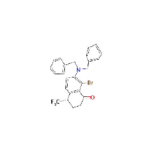 O=C1CC[C@H](C(F)(F)F)c2ccc(N(Cc3ccccc3)Cc3ccccc3)c(Br)c21